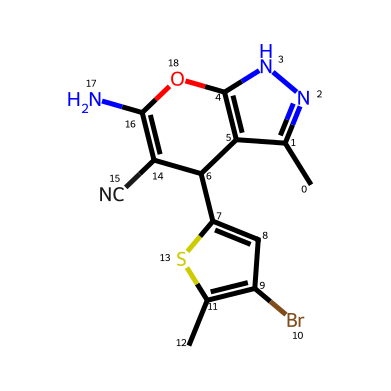 Cc1n[nH]c2c1C(c1cc(Br)c(C)s1)C(C#N)=C(N)O2